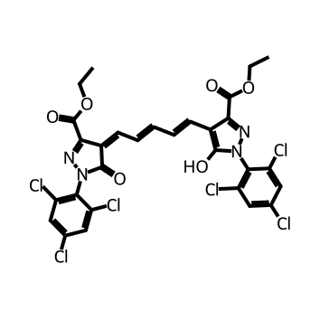 CCOC(=O)C1=NN(c2c(Cl)cc(Cl)cc2Cl)C(=O)C1=CC=CC=Cc1c(C(=O)OCC)nn(-c2c(Cl)cc(Cl)cc2Cl)c1O